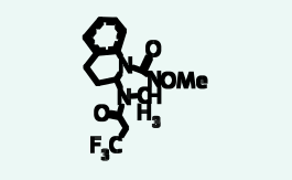 CONC(=O)N1c2ccccc2CCC1N(C)C(=O)CC(F)(F)F